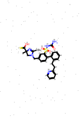 CCCCC1=NC(C)(C(O)=S)CN1Cc1ccc(-c2ccccc2CCc2ccccn2)c(S(=O)(=O)NC(N)=O)c1